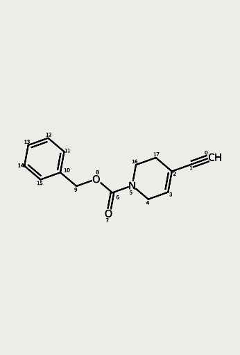 C#CC1=CCN(C(=O)OCc2ccccc2)CC1